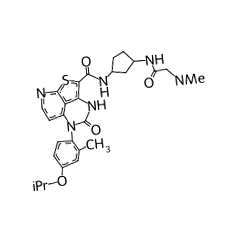 CNCC(=O)NC1CCC(NC(=O)c2sc3nccc4c3c2NC(=O)N4c2ccc(OC(C)C)cc2C)C1